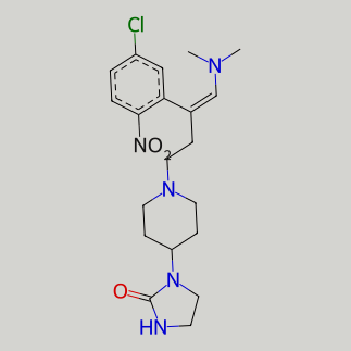 CN(C)C=C(CCN1CCC(N2CCNC2=O)CC1)c1cc(Cl)ccc1[N+](=O)[O-]